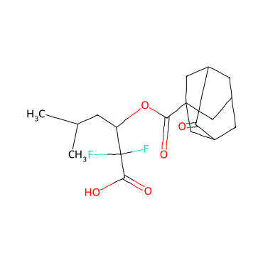 CC(C)CC(OC(=O)C12CC3CC(C1)C(=O)C(C3)C2)C(F)(F)C(=O)O